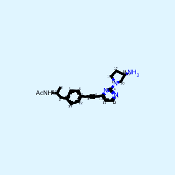 CC(=O)NC(C)Cc1ccc(C#Cc2ccnc(N3CCC(N)C3)n2)cc1